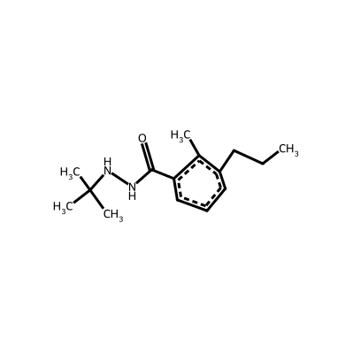 CCCc1cccc(C(=O)NNC(C)(C)C)c1C